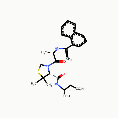 C=C(N[C@@H](C)C(=O)N1CSC(C)(C)[C@H]1C(=O)N[C@H](C=O)CC(=O)O)c1cccc2ccccc12